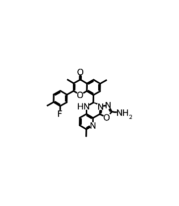 Cc1cc([C@@H](C)Nc2ccc(C)nc2-c2nnc(N)o2)c2oc(-c3ccc(C)c(F)c3)c(C)c(=O)c2c1